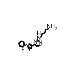 NCCCCCNc1nccc(-c2cnn(-c3ccccc3F)c2)n1